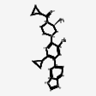 C[C@@H]1CN(c2nc(C3CC3)c(-c3ccc4ncoc4c3)cc2C#N)CCN1C(=O)C1CC1